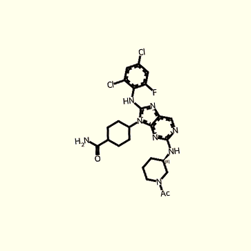 CC(=O)N1CCC[C@@H](Nc2ncc3nc(Nc4c(F)cc(Cl)cc4Cl)n(C4CCC(C(N)=O)CC4)c3n2)C1